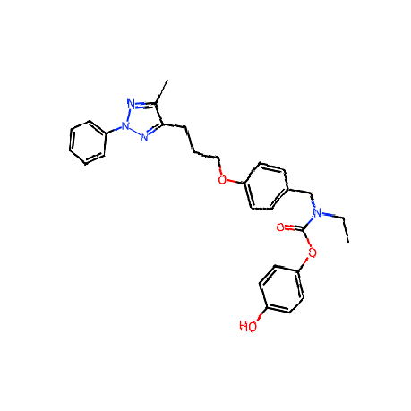 CCN(Cc1ccc(OCCCc2nn(-c3ccccc3)nc2C)cc1)C(=O)Oc1ccc(O)cc1